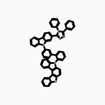 c1ccc(-c2nnc(-c3ccc4c5ccccc5n(-c5cccc(-c6ccccc6-n6c7ccccc7c7c8c(ccc76)oc6ccccc68)c5)c4c3)n2-c2ccccc2)cc1